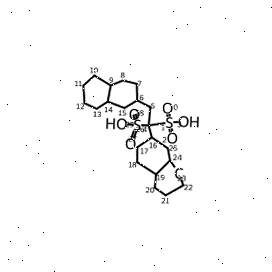 O=S(=O)(O)C(CC1CCC2CCCCC2C1)(C1CCC2CCCCC2C1)S(=O)(=O)O